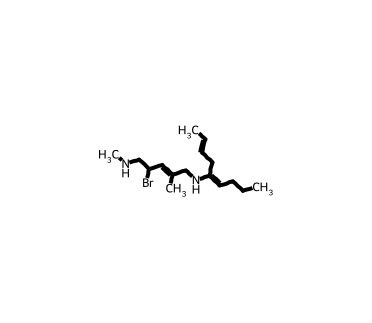 CC=CC/C(=C\CCC)NC/C(C)=C/C(Br)CNC